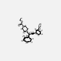 CCOC(=O)N1CCN(C(C#Cc2cccc(Cl)c2)c2ccccc2)CC1